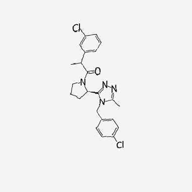 Cc1nnc([C@H]2CCCN2C(=O)C(C)c2cccc(Cl)c2)n1Cc1ccc(Cl)cc1